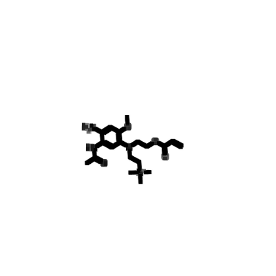 C=CC(=O)OCCN(CC[N+](C)(C)C)c1cc(NC(C)=O)c(N)cc1OC